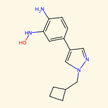 Nc1ccc(-c2cnn(CC3CCC3)c2)cc1NO